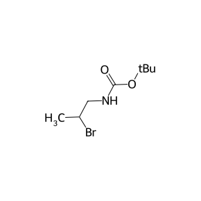 CC(Br)CNC(=O)OC(C)(C)C